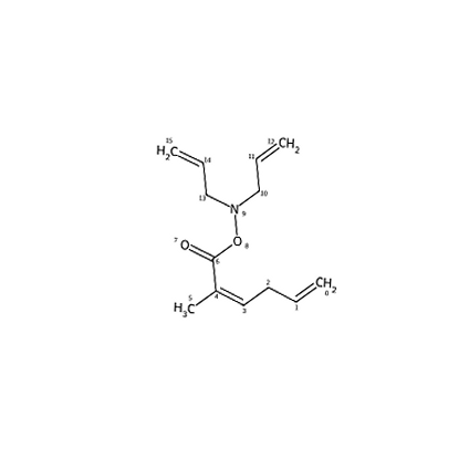 C=CCC=C(C)C(=O)ON(CC=C)CC=C